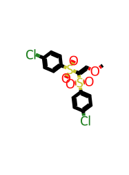 COC=C(S(=O)(=O)c1ccc(Cl)cc1)S(=O)(=O)c1ccc(Cl)cc1